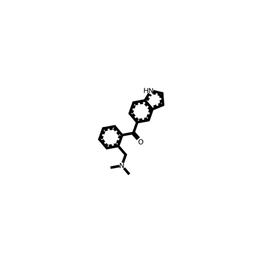 CN(C)Cc1ccccc1C(=O)c1ccc2[nH]ccc2c1